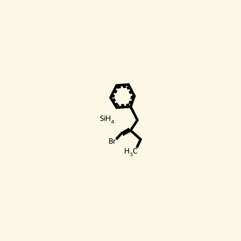 CCC(=CBr)Cc1ccccc1.[SiH4]